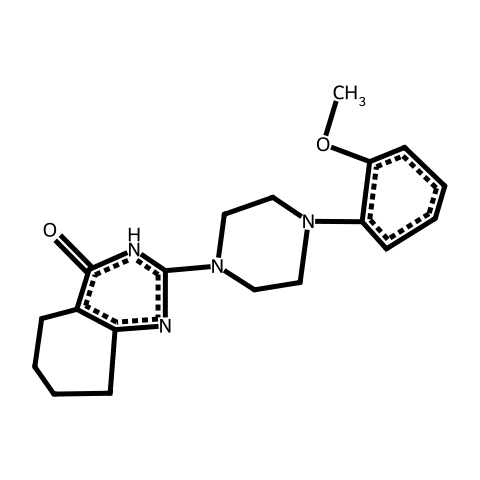 COc1ccccc1N1CCN(c2nc3c(c(=O)[nH]2)CCCC3)CC1